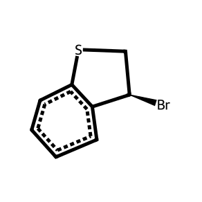 Br[C@@H]1CSc2ccccc21